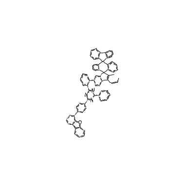 C/C=C\C1=C(C)C2(c3cc(-c4ccccc4-c4nc(-c5ccccc5)nc(-c5ccc(-c6cccc7c6oc6ccccc67)cc5)n4)ccc31)c1ccccc1C1(c3ccccc3-c3ccccc31)c1ccccc12